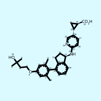 Cc1cc(OCCC(C)(C)O)cc(C)c1-c1cccc2c1CC[C@H]2Nc1ccc([C@@H]2C[C@H]2C(=O)O)cn1